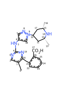 Cc1cnc(Nc2cnn(C3C[C@@H](C)N[C@@H](C)C3)c2)nc1-c1ccccc1C(=O)O